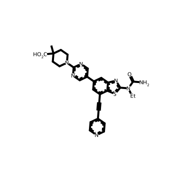 CCN(C(N)=O)c1nc2cc(-c3cnc(N4CCC(C)(C(=O)O)CC4)nc3)cc(C#Cc3ccncc3)c2s1